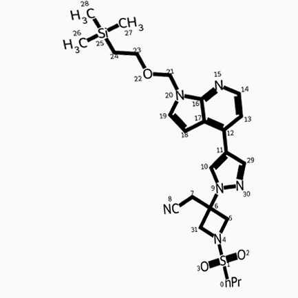 CCCS(=O)(=O)N1CC(CC#N)(n2cc(-c3ccnc4c3ccn4COCC[Si](C)(C)C)cn2)C1